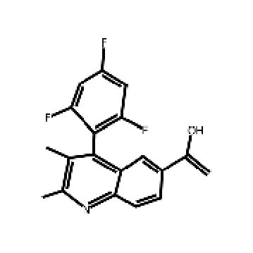 C=C(O)c1ccc2nc(C)c(C)c(-c3c(F)cc(F)cc3F)c2c1